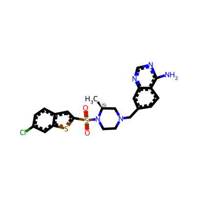 C[C@H]1CN(Cc2ccc3c(N)ncnc3c2)CCN1S(=O)(=O)c1cc2ccc(Cl)cc2s1